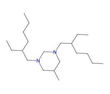 CCCCC(CC)CN1CC(C)CN(CC(CC)CCCC)C1